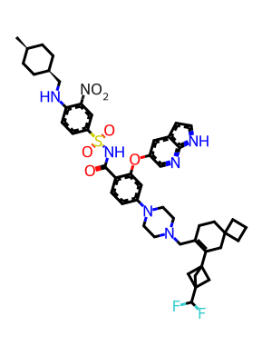 C[C@H]1CC[C@@H](CNc2ccc(S(=O)(=O)NC(=O)c3ccc(N4CCN(CC5=C(C67CC(C(F)F)(C6)C7)CC6(CCC6)CC5)CC4)cc3Oc3cnc4[nH]ccc4c3)cc2[N+](=O)[O-])CC1